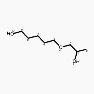 CC(O)COCCCCCO